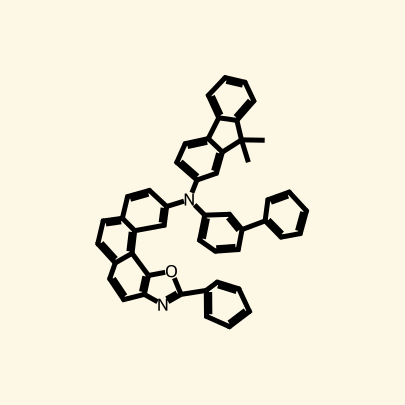 CC1(C)c2ccccc2-c2ccc(N(c3cccc(-c4ccccc4)c3)c3ccc4ccc5ccc6nc(-c7ccccc7)oc6c5c4c3)cc21